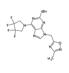 Cc1noc(Cn2cnc3c(N4CC(F)(F)C(F)(F)C4)nc(C(C)(C)C)nc32)n1